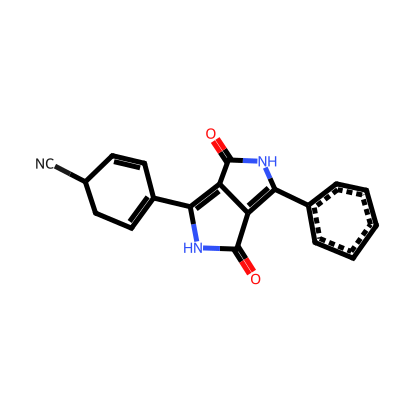 N#CC1C=CC(C2=C3C(=O)NC(c4ccccc4)=C3C(=O)N2)=CC1